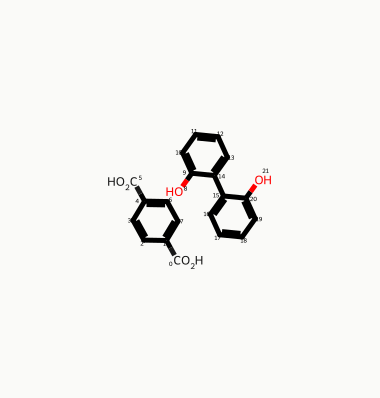 O=C(O)c1ccc(C(=O)O)cc1.Oc1ccccc1-c1ccccc1O